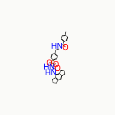 Cc1ccc(C(=O)NCCc2ccc(S(=O)(=O)NC(=O)Nc3c4c(cc5c3CCC5)CCC4)cc2)cc1